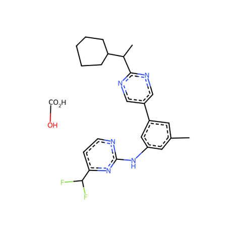 Cc1cc(Nc2nccc(C(F)F)n2)cc(-c2cnc(C(C)C3CCCCC3)nc2)c1.O=C(O)O